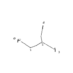 FCC(I)I